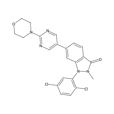 Cn1c(=O)c2ccc(-c3cnc(N4CCOCC4)nc3)cc2n1-c1cc(Cl)ccc1Cl